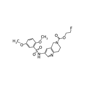 COc1ccc(OC)c(S(=O)(=O)Nc2cnc3c(c2)CN(C(=O)OCCF)CC3)c1